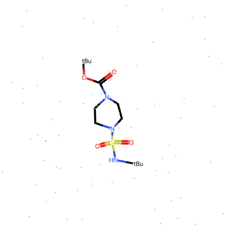 CC(C)(C)NS(=O)(=O)N1CCN(C(=O)OC(C)(C)C)CC1